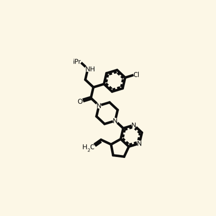 C=CC1CCc2ncnc(N3CCN(C(=O)C(CNC(C)C)c4ccc(Cl)cc4)CC3)c21